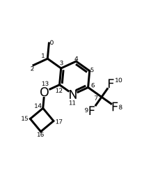 CC(C)c1ccc(C(F)(F)F)nc1OC1CCC1